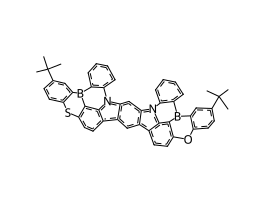 CC(C)(C)c1ccc2c(c1)B1c3ccccc3-n3c4cc5c(cc4c4ccc(c1c43)O2)c1ccc2c3c1n5-c1ccccc1B3c1cc(C(C)(C)C)ccc1S2